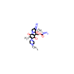 COC12C(COC(N)=O)C3=C(C(=O)C(C)=C(N4CCN(C)CC4)C3=O)N1CC1NC12